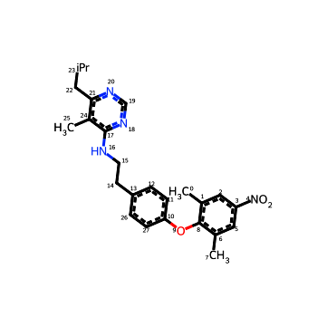 Cc1cc([N+](=O)[O-])cc(C)c1Oc1ccc(CCNc2ncnc(CC(C)C)c2C)cc1